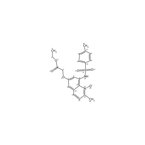 CCOC(=O)COc1cc(NS(=O)(=O)c2ccc(C)cc2)c2c(ccc(C)[n+]2[O-])c1